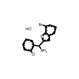 Cl.NC(c1cc2cccc(Br)c2s1)c1ccccc1Cl